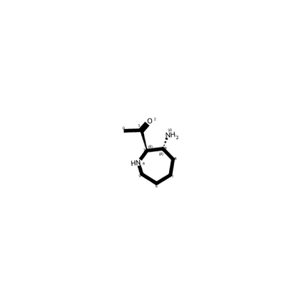 CC(=O)[C@@H]1NCCCC[C@H]1N